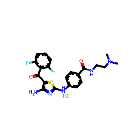 CN(C)CCNC(=O)c1ccc(Nc2nc(N)c(C(=O)c3c(F)cccc3F)s2)cc1.Cl